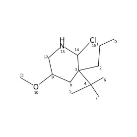 CCCC1(C(C)(C)C)CC(OC)CNC1Cl